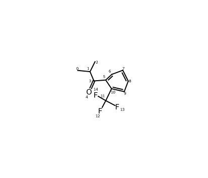 CC(C)C(=O)c1ccccc1C(F)(F)F